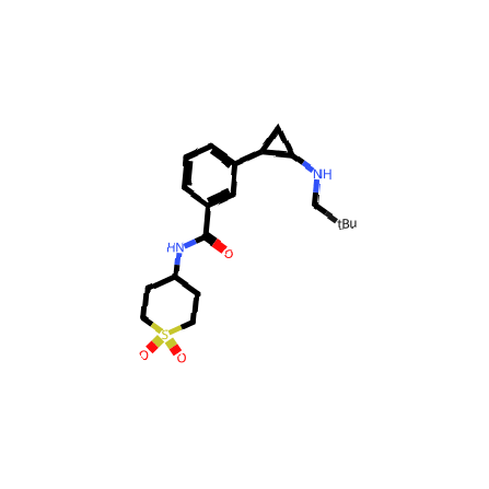 CC(C)(C)CNC1CC1c1cccc(C(=O)NC2CCS(=O)(=O)CC2)c1